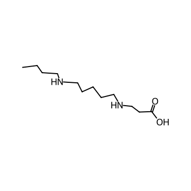 CCCCNCCCCCNCCC(=O)O